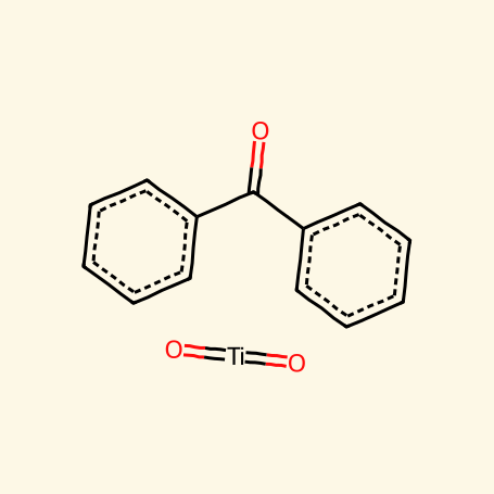 O=C(c1ccccc1)c1ccccc1.[O]=[Ti]=[O]